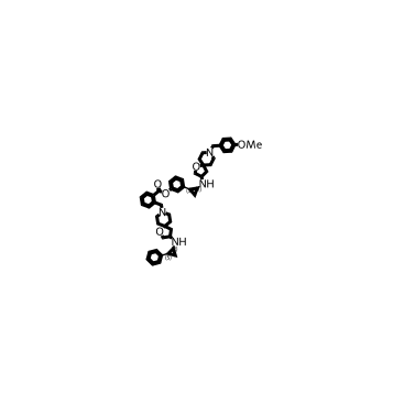 COc1ccc(CN2CCC3(CC2)CC(N[C@@H]2C[C@H]2c2cccc(OC(=O)c4ccccc4CN4CCC5(CC4)CC(N[C@@H]4C[C@H]4c4ccccc4)CO5)c2)CO3)cc1